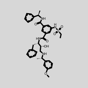 CCS(=O)(=O)Nc1cc(C(=O)N[C@@H](Cc2ccccc2)[C@H](O)CN[C@@H](C)c2cccc(OC)c2)cc(C(=O)N[C@H](C)c2ccccc2)c1